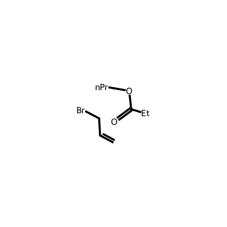 C=CCBr.CCCOC(=O)CC